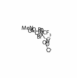 CNS(=O)(=O)Cc1cc(Br)c(N(CC=C[C@H]2CCCN2C(=O)OCc2ccccc2)C(=O)C(F)(F)F)c(Br)c1